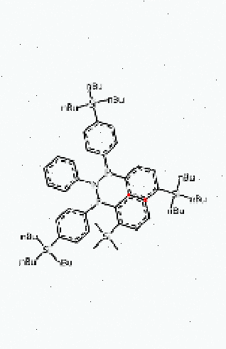 CCCC[Si](CCCC)(CCCC)c1ccc(P(c2ccc([Si](CCCC)(CCCC)CCCC)cc2)N(c2ccccc2)P(c2ccc([Si](CCCC)(CCCC)CCCC)cc2)c2ccccc2[Si](C)(C)C)cc1